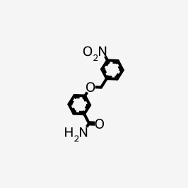 NC(=O)c1cccc(OCc2cccc([N+](=O)[O-])c2)c1